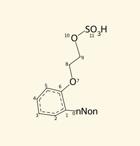 CCCCCCCCCc1ccccc1OCCOS(=O)(=O)O